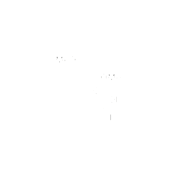 COc1ccc(OC)c(C(=O)C2CCCCC2c2ccc(F)c(O)c2)c1